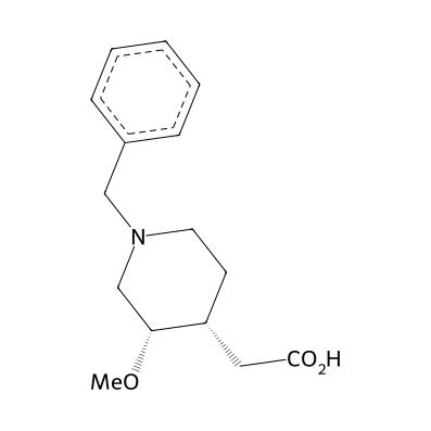 CO[C@@H]1CN(Cc2ccccc2)CC[C@@H]1CC(=O)O